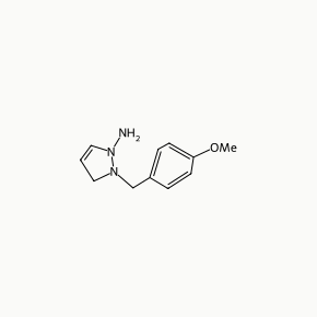 COc1ccc(CN2CC=CN2N)cc1